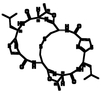 CC(C)C[C@H]1NC(=O)[C@H]2N=C(O[C@@H]2C)C2CSSCC(NC(=O)c3csc1n3)C1=N[C@H](C(=O)N[C@H](CC(C)C)c3nc(cs3)C(=O)N2)[C@@H](C)O1